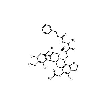 COc1c(C)cc2c(c1O)C1C3Cc4c(OC(C)=O)c(C)c5c(c4[C@H](CNC(=O)C(C)NC(=O)CCc4ccccc4)N3[C@@H](C#N)[C@H](C2)N1C)OCO5